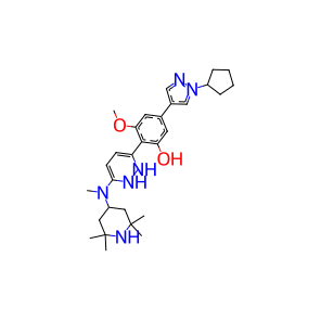 COc1cc(-c2cnn(C3CCCC3)c2)cc(O)c1C1=CC=C(N(C)C2CC(C)(C)NC(C)(C)C2)NN1